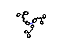 C1=CCCC(C(=CC=Cc2ccc(N(c3ccc(C=CC=C(C4=CC=CCC4)c4ccccc4)cc3)c3ccc(C=CC=C(C4=CC=CCC4)c4ccccc4)cc3)cc2)c2ccccc2)=C1